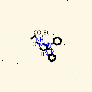 CCOC(=O)C(C)NC(=O)N1CCC2(CC1)Nc1ccccc1N=C2NC1CCCCC1